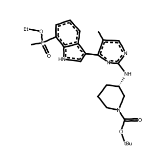 CCOP(C)(=O)c1cccc2c(-c3nc(N[C@H]4CCCN(C(=O)OC(C)(C)C)C4)ncc3C)c[nH]c12